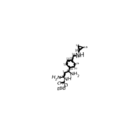 CC(C)(C)OC(=O)N/C(N)=C\C(N)c1ccc(CNC2CC2)cc1